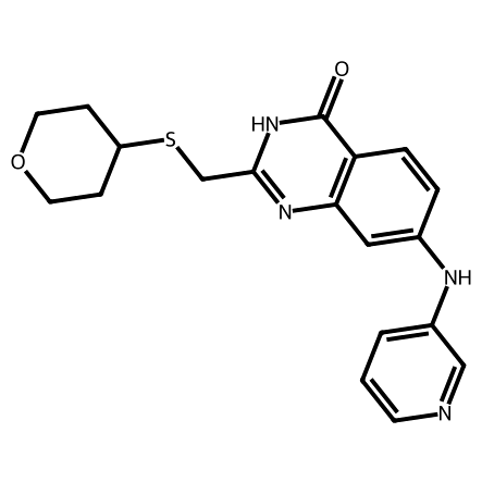 O=c1[nH]c(CSC2CCOCC2)nc2cc(Nc3cccnc3)ccc12